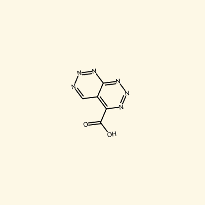 O=C(O)c1nnnc2nnncc12